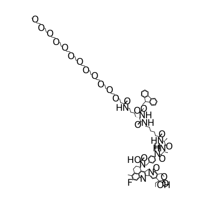 CC[C@@]1(O)C(=O)OCc2c1cc1n(c2=O)Cc2c-1nc1cc(F)c(C)c3c1c2[C@@H](N(Cc1ccc(NC(=O)[C@H](C)NC(=O)[C@H](C)NC(=O)CCCCCNC(=O)[C@H](CCCCNC(=O)CCOCCOCCOCCOCCOCCOCCOCCOCCOCCOCCOCCOC)NC(=O)OCC2c4ccccc4-c4ccccc42)cc1)C(=O)O)CC3